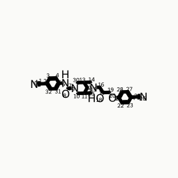 N#Cc1ccc(NC(=O)N2CC3CC(CN(CC(O)COc4ccc(C#N)cc4)C3)C2)cc1